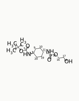 CC(C)(C)OC(=O)N[C@H]1CC[C@H](NC(=O)OCCO)CC1